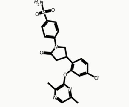 Cc1cnc(C)c(Oc2cc(Cl)ccc2C2CC(=O)N(c3ccc(S(N)(=O)=O)cc3)C2)n1